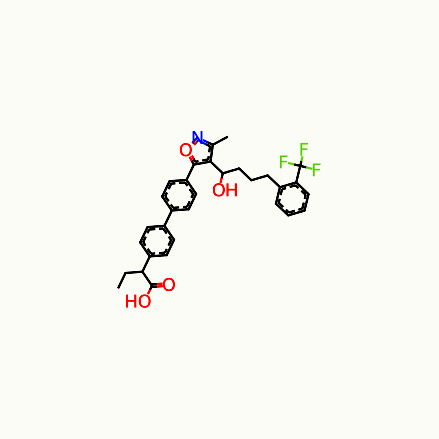 CCC(C(=O)O)c1ccc(-c2ccc(-c3onc(C)c3C(O)CCCc3ccccc3C(F)(F)F)cc2)cc1